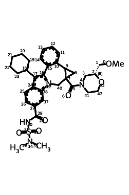 COC[C@H]1CN(C(=O)C23CC2c2ccccc2-c2c(C4CCCCC4)c4ccc(C(=O)NS(=O)(=O)N(C)C)cc4n2C3)CCO1